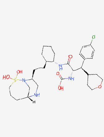 O=C(O)N[C@H](C(=O)N[C@H]1CCCC[C@@H]1CC[C@H]1CN[C@@H]2CCCS(O)(O)N1C2)[C@@H](c1ccc(Cl)cc1)C1CCOCC1